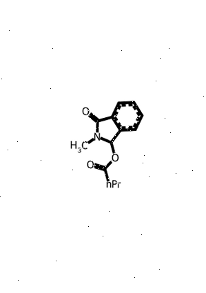 CCCC(=O)OC1c2ccccc2C(=O)N1C